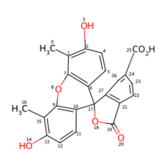 Cc1c(O)ccc2c1Oc1c(ccc(O)c1C)C21OC(=O)c2ccc(C(=O)O)cc21